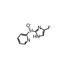 [O-][S+](c1ccccn1)c1nc(F)c[nH]1